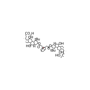 C[C@H](CCC(=O)O)[C@H]1CCC2C3C(C[C@H](O)[C@@]21C)[C@@]1(C)C(C(C)(C)C)C[C@@H](OC(=O)CC24CC5CC(C2)CC(CC(=O)O[C@@H]2CC(C(C)(C)C)[C@]6(C)C7C[C@H](O)[C@@]8(C)C(CC[C@@H]8[C@H](C)CCC(=O)O)C7[C@H](O)C[C@@H]6C2)(C5)C4)C[C@H]1C[C@H]3O